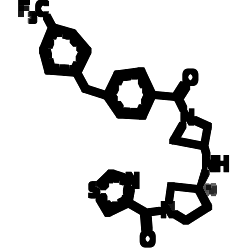 O=C(c1ccc(Cc2ccc(C(F)(F)F)cc2)cc1)N1CC(N[C@H]2CCN(C(=O)c3cscn3)C2)C1